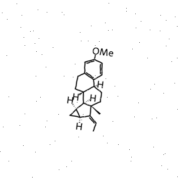 C/C=C1\[C@H]2C[C@H]2[C@H]2[C@@H]3CCc4cc(OC)ccc4[C@H]3CC[C@]12C